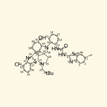 Cc1ccc2nc(NC(=O)Nc3ccccc3N3CC4(CCN(CC(C)(C)C)CC4)c4c(-c5nc6c(Cl)cccc6s5)ccc(O)c43)sc2c1